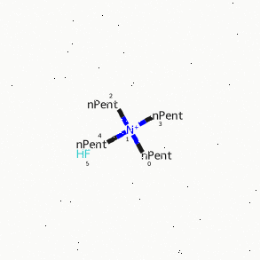 CCCCC[N+](CCCCC)(CCCCC)CCCCC.F